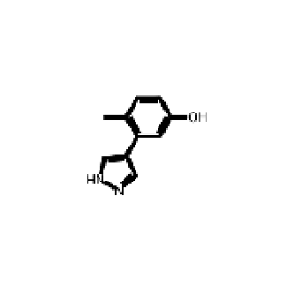 Cc1ccc(O)cc1-c1cn[nH]c1